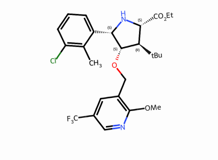 CCOC(=O)[C@H]1N[C@@H](c2cccc(Cl)c2C)[C@@H](OCc2cc(C(F)(F)F)cnc2OC)[C@@H]1C(C)(C)C